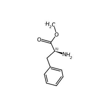 [CH2]OC(=O)[C@@H](N)Cc1ccccc1